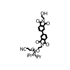 CC(C)N(C(C)C)P(OCCC#N)OCCN1C(=O)c2ccc(-c3ccc4c(c3)C(=O)N(CCO)C4=O)cc2C1=O